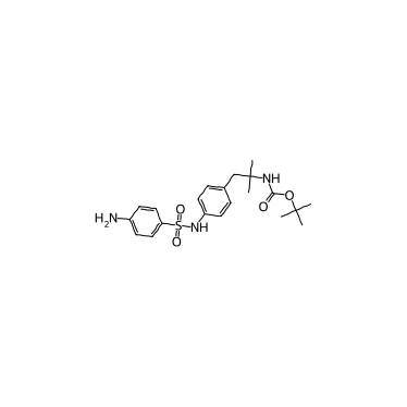 CC(C)(Cc1ccc(NS(=O)(=O)c2ccc(N)cc2)cc1)NC(=O)OC(C)(C)C